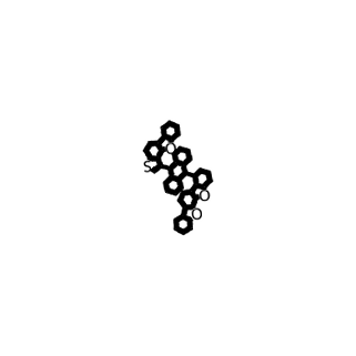 c1ccc2c(c1)oc1c2ccc2c1oc1cccc(-c3c4ccccc4c(-c4csc5ccc6c7ccccc7oc6c45)c4ccccc34)c12